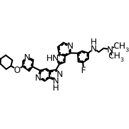 CN(C)CCNc1cc(F)cc(-c2nccc3[nH]c(-c4n[nH]c5cnc(-c6cncc(OC7CCCCC7)c6)cc45)cc23)c1